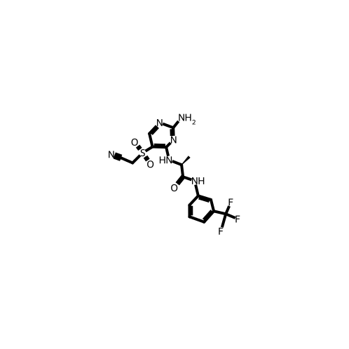 C[C@H](Nc1nc(N)ncc1S(=O)(=O)CC#N)C(=O)Nc1cccc(C(F)(F)F)c1